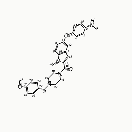 CNc1ccc(Oc2ccc3c(c2)cc(C(=O)N2CCN(Cc4ccc(OC)cc4)CC2)n3C)nc1